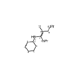 CCC/C(NC1CCCCC1)=C(/C)CC(C)C